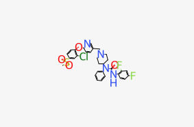 CS(=O)(=O)c1ccc(Oc2ccc(CN3CCC(N(C(=O)Nc4ccc(F)cc4F)c4ccccc4)CC3)cn2)c(Cl)c1